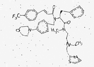 CN(CCN(C)C(=O)[C@H](Cc1ccccc1)N(Cc1ccc(N2CCOCC2)cc1)C(=O)/C=C/c1ccc(C(F)(F)F)cc1)Cc1nccs1